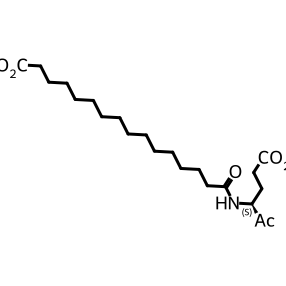 CC(=O)[C@H](CCC(=O)O)NC(=O)CCCCCCCCCCCCCCC(=O)O